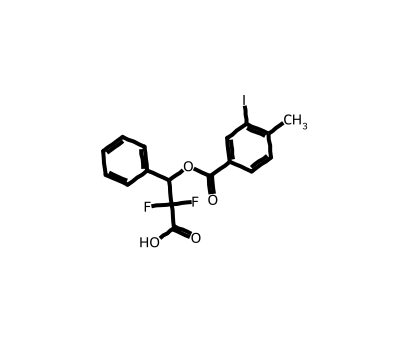 Cc1ccc(C(=O)OC(c2ccccc2)C(F)(F)C(=O)O)cc1I